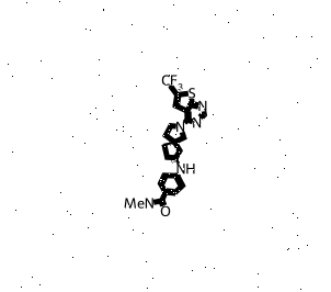 CNC(=O)c1ccc(N[C@H]2CC[C@]3(CCN(c4ncnc5sc(CC(F)(F)F)cc45)C3)C2)cc1